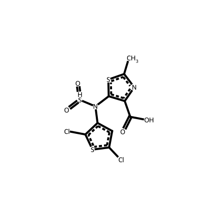 Cc1nc(C(=O)O)c(N(c2cc(Cl)sc2Cl)[SH](=O)=O)s1